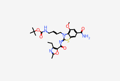 CCc1nc(C)oc1C(=O)/N=c1\sc2cc(C(N)=O)cc(OC)c2n1C/C=C/CNC(=O)OC(C)(C)C